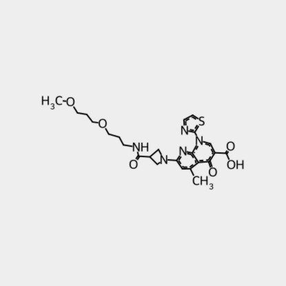 COCCCOCCCNC(=O)C1CN(c2cc(C)c3c(=O)c(C(=O)O)cn(-c4nccs4)c3n2)C1